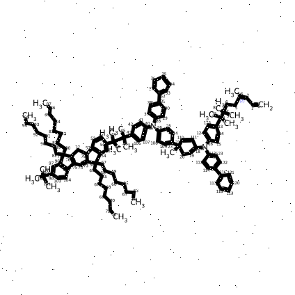 C=C/C=C(/C)CCC(C)(C)C(C)(C)c1ccc(N(C2=CCC(C)(c3ccc(N(c4ccc(-c5ccccc5)cc4)c4ccc(C(C)(C)C(C)(C)c5ccc6c(c5)C(CCCCCCCC)(CCCCCCCC)C5=CC7=C(CC56)C(CCCCCCCC)(CCCCCCCC)c5cc(C(C)(C)C)ccc57)cc4)cc3)C=C2)c2ccc(-c3ccccc3)cc2)cc1